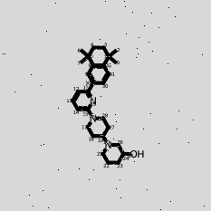 CC1(C)CCC(C)(C)c2cc(-c3cccc(N4CCC(N5CCCC(O)C5)CC4)n3)ccc21